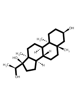 C[C@H](O)[C@@]1(O)CC[C@@H]2[C@H]3CC[C@@]4(C)C[C@H](O)CC[C@]4(C)[C@@H]3CC[C@@]21C